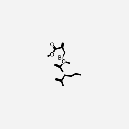 C=C(C)CCCC.C=C(C)OC.C=C(CBr)C(=O)OC